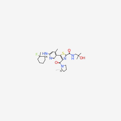 Cc1cc(N[C@@H]2CCCCC2(C)F)ncc1-c1sc(C(=O)NCC(C)(C)O)nc1C(=O)N1CCC[C@@H]1C